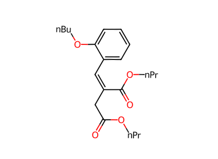 CCCCOc1ccccc1C=C(CC(=O)OCCC)C(=O)OCCC